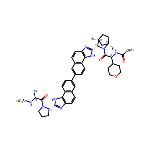 COC(=O)N[C@H](C(=O)N1[C@@H]2CC[C@@H](C2)[C@H]1c1nc2ccc3cc(-c4ccc5c(ccc6nc([C@@H]7CCCN7C(=O)[C@@H](NC(=O)O)C(C)C)[nH]c65)c4)ccc3c2[nH]1)C1CCOCC1